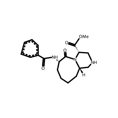 COC(=O)[C@@H]1CNC[C@@H]2CCCC[C@H](NC(=O)c3ccccc3)C(=O)N21